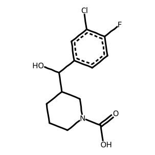 O=C(O)N1CCCC(C(O)c2ccc(F)c(Cl)c2)C1